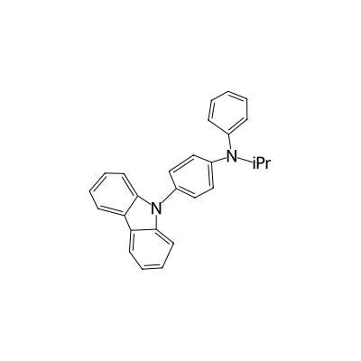 CC(C)N(c1ccccc1)c1ccc(-n2c3ccccc3c3ccccc32)cc1